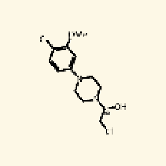 COc1cc(N2CCN([C@@H](O)CCl)CC2)ccc1Cl